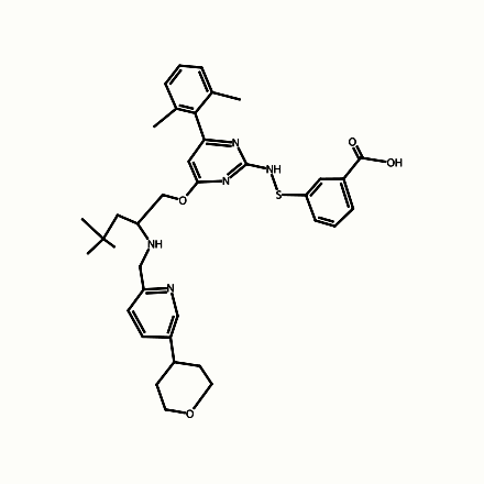 Cc1cccc(C)c1-c1cc(OCC(CC(C)(C)C)NCc2ccc(C3CCOCC3)cn2)nc(NSc2cccc(C(=O)O)c2)n1